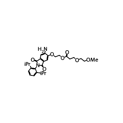 COCCOCCC(=O)OCCOc1cc2c(cc1N)C(=O)N(c1c(C(C)C)cccc1C(C)C)C2=O